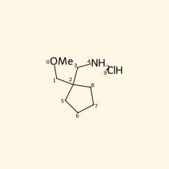 COCC1(CN)CCCC1.Cl